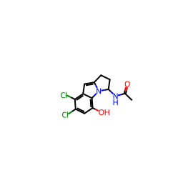 CC(=O)NC1CCc2cc3c(Cl)c(Cl)cc(O)c3n21